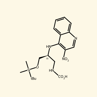 CC(C)(C)[Si](C)(C)OC[C@H](CNC(=O)O)Nc1c([N+](=O)[O-])cnc2ccccc12